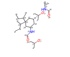 CC(C)[O-].CC(C)[O-].CCC(C)C1(C(C)CC)CCCC(NC=O)C1.O=C[NH][Ti+2]